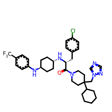 O=C([C@@H](Cc1ccc(Cl)cc1)N[C@H]1CC[C@H](Nc2ccc(C(F)(F)F)cc2)CC1)N1CCC(Cn2cncn2)(C2CCCCC2)CC1